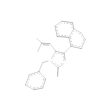 CCCCc1nc(-c2cccc3ccccc23)c(/C=C(\CC)C(=O)O)n1Cc1ccccc1